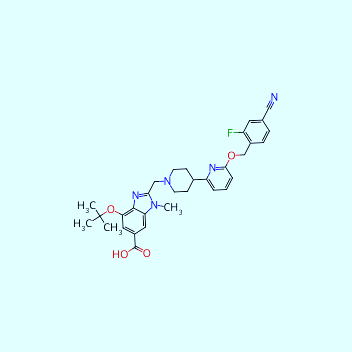 Cn1c(CN2CCC(c3cccc(OCc4ccc(C#N)cc4F)n3)CC2)nc2c(OC(C)(C)C)cc(C(=O)O)cc21